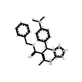 CC1=C(C(=O)OCc2ccccc2)C(c2ccc(N(C)C)cc2)n2nnnc2N1